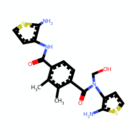 Cc1c(C(=O)Nc2ccsc2N)ccc(C(=O)N(CO)c2ccsc2N)c1C